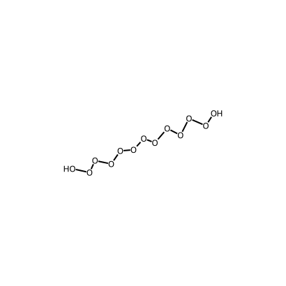 OOOOOOOOOOOOO